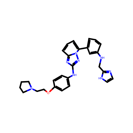 c1cc(NCc2ncc[nH]2)cc(-c2cccc3nc(Nc4ccc(OCCN5CCCC5)cc4)nn23)c1